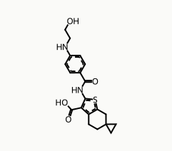 O=C(Nc1sc2c(c1C(=O)O)CCC1(CC1)C2)c1ccc(NCCO)cc1